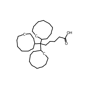 O=C(O)CCCCC(C1CCCCCCCCC1)(C1CCCCCCCCC1)C1CCCCCCCCC1